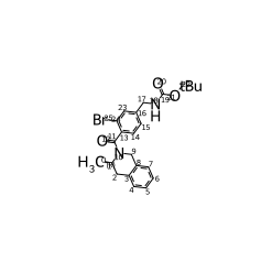 C[C@@H]1Cc2ccccc2CN1C(=O)c1ccc(CNC(=O)OC(C)(C)C)cc1Br